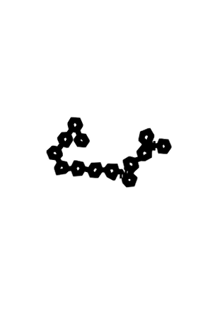 c1ccc(-c2ccccc2-c2ccc(-c3cccc(-c4cccc(-c5ccc(-c6ccc(-c7ccc(-n8c9ccccc9c9cc(-c%10ccc%11c(c%10)c%10ccccc%10n%11-c%10ccccc%10)ccc98)cc7)cc6)cc5)c4)c3)cc2)cc1